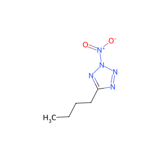 CCCCc1nnn([N+](=O)[O-])n1